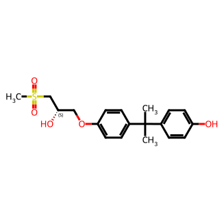 CC(C)(c1ccc(O)cc1)c1ccc(OC[C@H](O)CS(C)(=O)=O)cc1